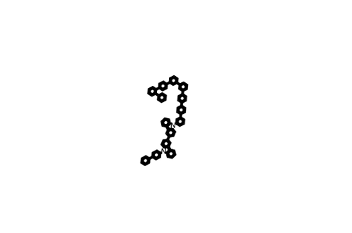 c1ccc(-c2ccc(-n3c4ccccc4c4cc(-c5ccc6c(c5)c5ccccc5n6-c5cccc(-c6ccc(-c7ccc(-c8cccc(-c9cccc(-c%10ccc(-c%11ccccc%11-c%11ccccc%11)cc%10)c9)c8)cc7)cc6)c5)ccc43)cc2)cc1